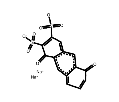 O=C1C=CC=c2cc3c(cc21)=CC(S(=O)(=O)[O-])=C(S(=O)(=O)[O-])C3=O.[Na+].[Na+]